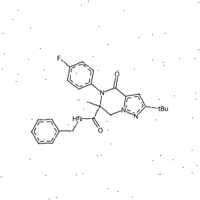 CC(C)(C)c1cc2n(n1)CC(C)(C(=O)NCc1ccccc1)N(c1ccc(F)cc1)C2=O